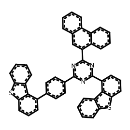 c1ccc2c(c1)cc(-c1nc(-c3ccc(-c4cccc5sc6ccccc6c45)cc3)nc(-c3cccc4sc5ccccc5c34)n1)c1ccccc12